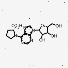 O=C(O)[C@H]1CCCN1c1ncnc2c1ncn2C1OC(CO)C(O)C1O